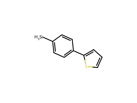 [SiH3]c1ccc(-c2cccs2)cc1